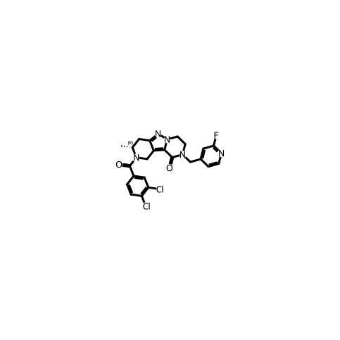 C[C@@H]1Cc2nn3c(c2CN1C(=O)c1ccc(Cl)c(Cl)c1)C(=O)N(Cc1ccnc(F)c1)CC3